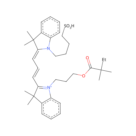 CCC(C)(C)C(=O)OCCC[N+]1=C(C=CC=C2N(CCCCS(=O)(=O)O)c3ccccc3C2(C)C)C(C)(C)c2ccccc21